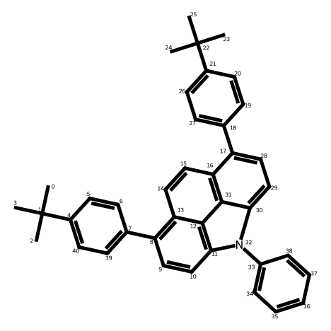 CC(C)(C)c1ccc(-c2ccc3c4c2ccc2c(-c5ccc(C(C)(C)C)cc5)ccc(c24)n3-c2ccccc2)cc1